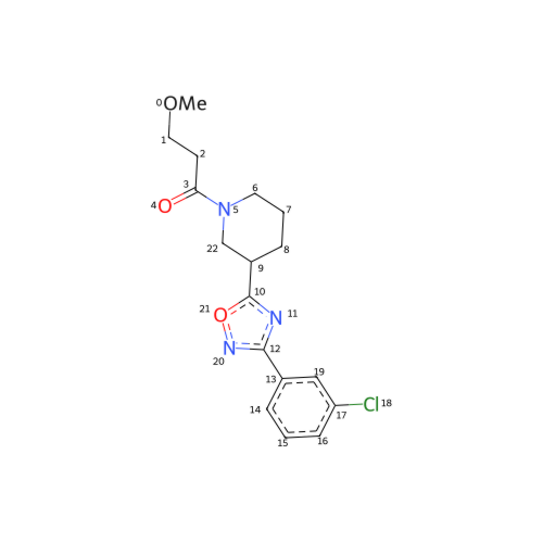 COCCC(=O)N1CCCC(c2nc(-c3cccc(Cl)c3)no2)C1